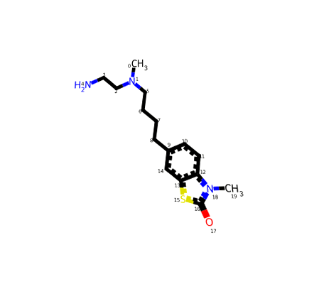 CN(CCN)CCCCc1ccc2c(c1)sc(=O)n2C